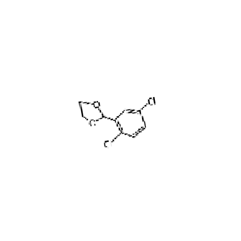 Clc1ccc(Cl)c(C2OCCO2)c1